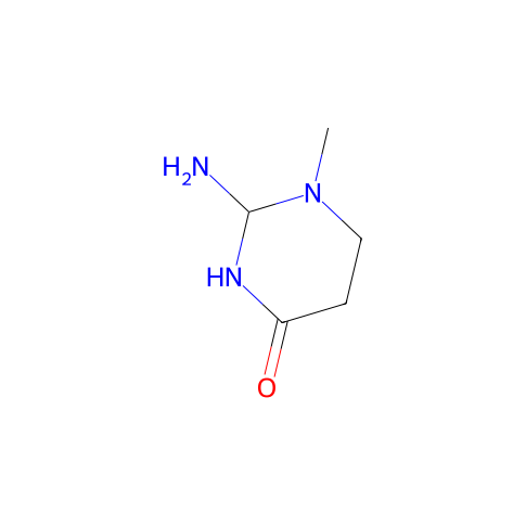 CN1CCC(=O)NC1N